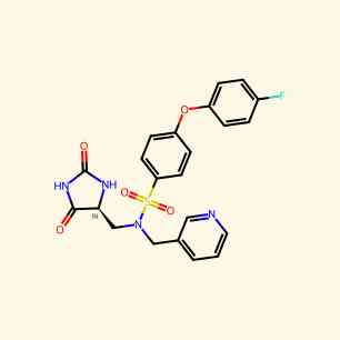 O=C1NC(=O)[C@H](CN(Cc2cccnc2)S(=O)(=O)c2ccc(Oc3ccc(F)cc3)cc2)N1